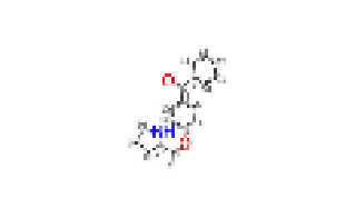 CC(Oc1ccc(C(=O)c2ccccc2)cc1)C1CCCN1